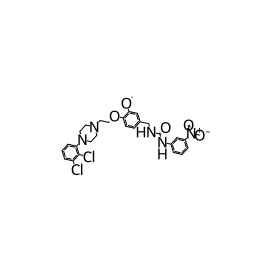 COc1cc(CNC(=O)Nc2cccc([N+](=O)[O-])c2)ccc1OCCN1CCN(c2cccc(Cl)c2Cl)CC1